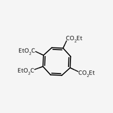 CCOC(=O)C1=C(C(=O)OCC)/C=C(C(=O)OCC)\C=C(C(=O)OCC)/C=C\1